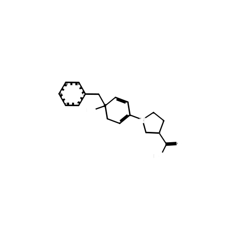 CC1(Cc2ccccc2)C=CC(N2CCC(C(=O)O)C2)=CC1